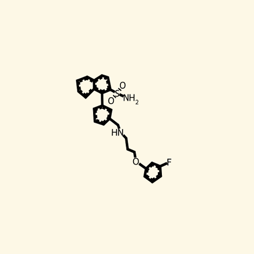 NS(=O)(=O)c1ccc2ccccc2c1-c1cccc(CNCCCOc2cccc(F)c2)c1